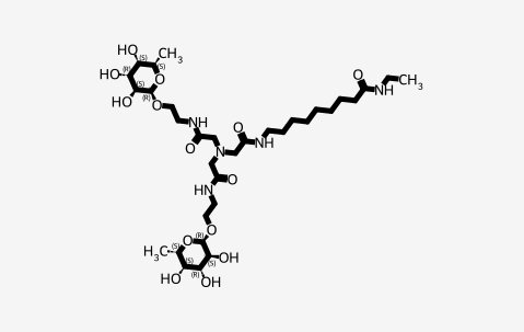 CCNC(=O)CCCCCCCCNC(=O)CN(CC(=O)NCCO[C@@H]1O[C@@H](C)[C@@H](O)[C@@H](O)[C@@H]1O)CC(=O)NCCO[C@@H]1O[C@@H](C)[C@@H](O)[C@@H](O)[C@@H]1O